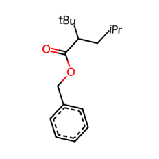 CC(C)CC(C(=O)OCc1ccccc1)C(C)(C)C